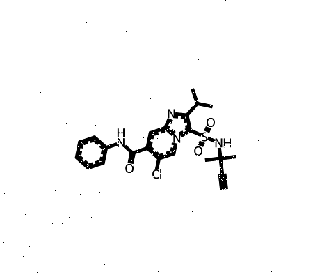 C#CC(C)(C)NS(=O)(=O)c1c(C(C)C)nc2cc(C(=O)Nc3ccccc3)c(Cl)cn12